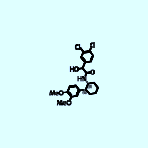 COc1ccc([C@@H]2CCCC[C@H]2NC(=O)C(O)c2ccc(Cl)c(Cl)c2)cc1OC